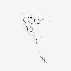 [N-]=[N+]=NCCOCCNC(=O)CCc1cc2c(-c3ccc(C(=O)O)cc3C(=O)O)c3ccc(=O)cc-3oc2cc1O